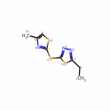 CCc1nnc(Sc2nc(C)cs2)s1